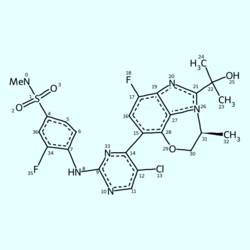 CNS(=O)(=O)c1ccc(Nc2ncc(Cl)c(-c3cc(F)c4nc(C(C)(C)O)n5c4c3OC[C@@H]5C)n2)c(F)c1